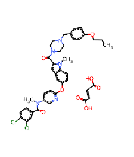 CCCOc1ccc(CN2CCN(C(=O)c3cc4cc(Oc5ccc(N(C)C(=O)c6ccc(Cl)c(Cl)c6)cn5)ccc4n3C)CC2)cc1.O=C(O)C=CC(=O)O